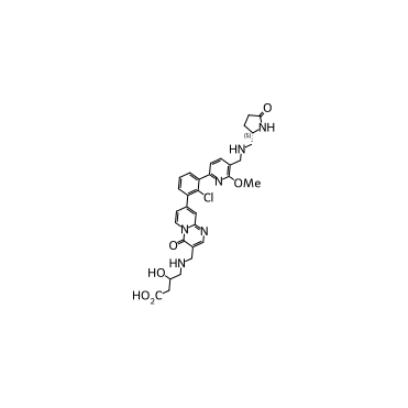 COc1nc(-c2cccc(-c3ccn4c(=O)c(CNCC(O)CC(=O)O)cnc4c3)c2Cl)ccc1CNC[C@@H]1CCC(=O)N1